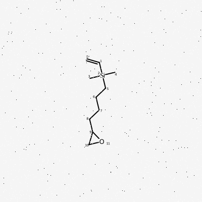 C=C[Si](C)(C)CCCCC1CO1